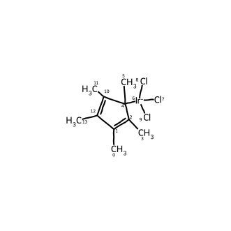 CC1=C(C)[C](C)([Ir-]([Cl])([Cl])[Cl])C(C)=C1C